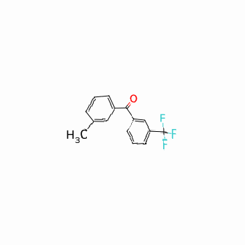 Cc1cccc(C(=O)c2cccc(C(F)(F)F)c2)c1